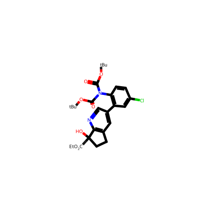 CCOC(=O)C1(O)CCc2cc(-c3cc(Cl)ccc3N(C(=O)OC(C)(C)C)C(=O)OC(C)(C)C)cnc21